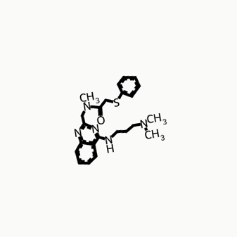 CN(C)CCCNc1nc(CN(C)C(=O)CSc2ccccc2)nc2ccccc12